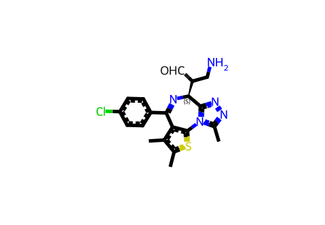 Cc1sc2c(c1C)C(c1ccc(Cl)cc1)=N[C@@H](C(C=O)CN)c1nnc(C)n1-2